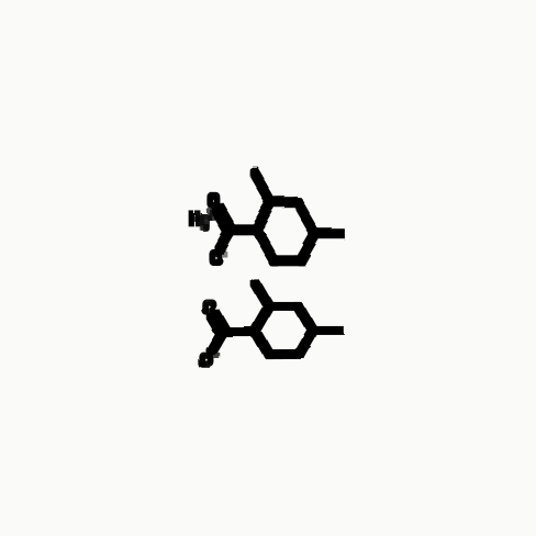 CC1CCC(C(=O)[O-])C(C)C1.CC1CCC(C(=O)[O-])C(C)C1.[Hg+2]